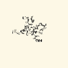 COC(=O)C1(Nc2cccc(Cl)c2)CCC2(CC1)c1ccccc1CN2CCCO